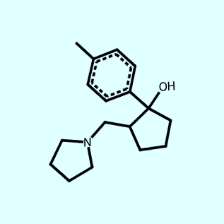 Cc1ccc(C2(O)CCCC2CN2CCCC2)cc1